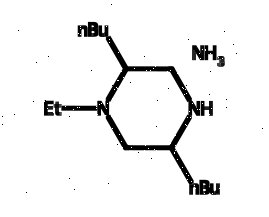 CCCCC1CN(CC)C(CCCC)CN1.N